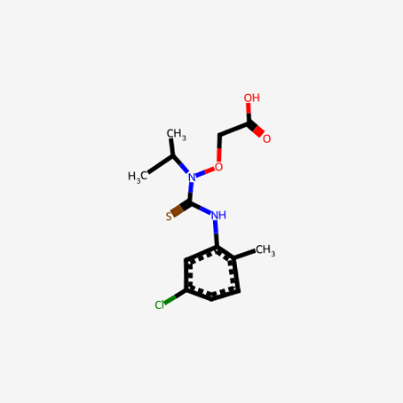 Cc1ccc(Cl)cc1NC(=S)N(OCC(=O)O)C(C)C